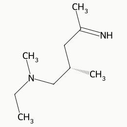 CCN(C)C[C@@H](C)CC(C)=N